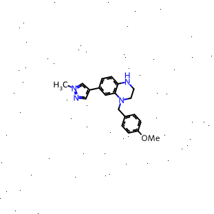 COc1ccc(CN2CCNc3ccc(-c4cnn(C)c4)cc32)cc1